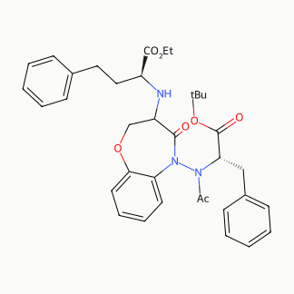 CCOC(=O)[C@H](CCc1ccccc1)NC1COc2ccccc2N(N(C(C)=O)[C@@H](Cc2ccccc2)C(=O)OC(C)(C)C)C1=O